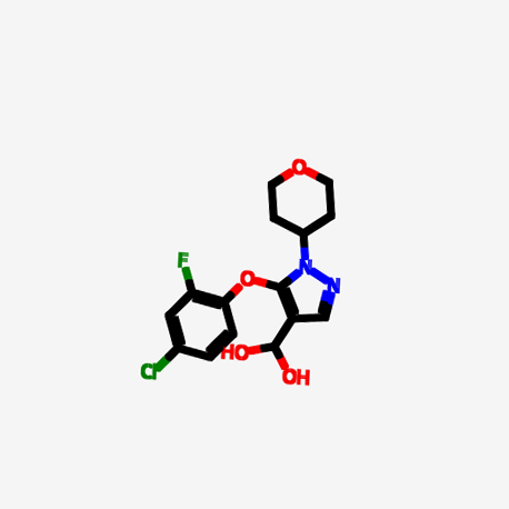 OC(O)c1cnn(C2CCOCC2)c1Oc1ccc(Cl)cc1F